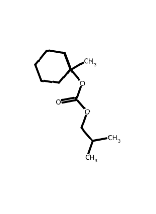 CC(C)COC(=O)OC1(C)CCCCC1